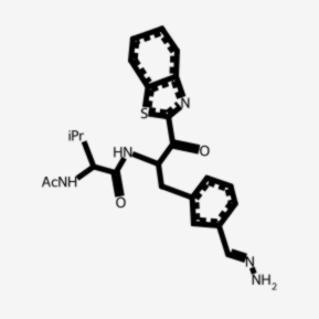 CC(=O)NC(C(=O)NC(Cc1cccc(C=NN)c1)C(=O)c1nc2ccccc2s1)C(C)C